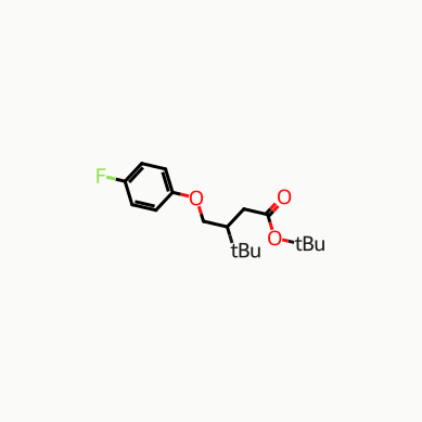 CC(C)(C)OC(=O)CC(COc1ccc(F)cc1)C(C)(C)C